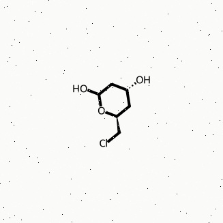 OC1C[C@H](O)C[C@@H](CCl)O1